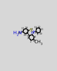 Cc1ccc2c(c1)N(c1ccccc1)Sc1ccc(N)cc1-2